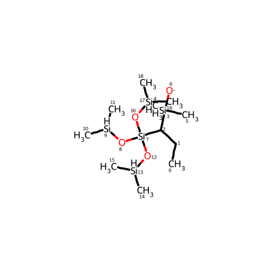 CCC([Si](C)(C)[O])[Si](O[SiH](C)C)(O[SiH](C)C)O[SiH](C)C